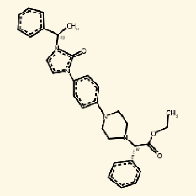 CCOC(=O)[C@H](c1ccccc1)N1CCN(c2ccc(-n3ccn([C@H](C)c4ccccc4)c3=O)cc2)CC1